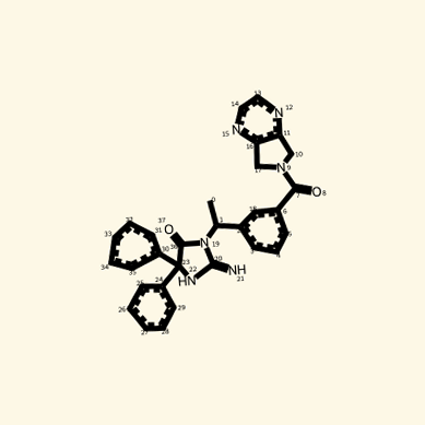 CC(c1cccc(C(=O)N2Cc3nccnc3C2)c1)N1C(=N)NC(c2ccccc2)(c2ccccc2)C1=O